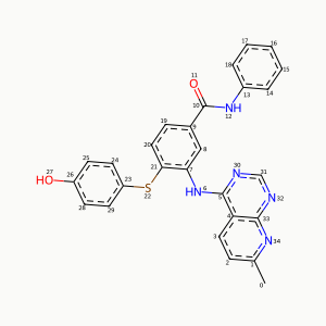 Cc1ccc2c(Nc3cc(C(=O)Nc4ccccc4)ccc3Sc3ccc(O)cc3)ncnc2n1